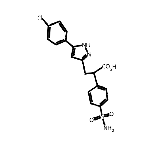 NS(=O)(=O)c1ccc(C(Cc2cc(-c3ccc(Cl)cc3)[nH]n2)C(=O)O)cc1